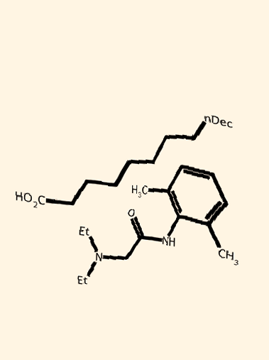 CCCCCCCCCCCCCCCCCC(=O)O.CCN(CC)CC(=O)Nc1c(C)cccc1C